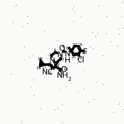 CC1(NC(=O)N2CCn3c(c(C(N)=O)c(C#N)c3C3CC3)C2)C=C(Cl)C(F)=CC1